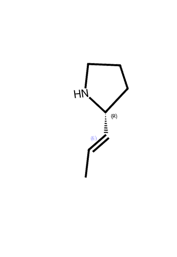 C/C=C/[C@H]1CCCN1